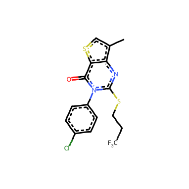 Cc1csc2c(=O)n(-c3ccc(Cl)cc3)c(SCCC(F)(F)F)nc12